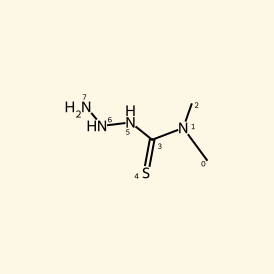 CN(C)C(=S)NNN